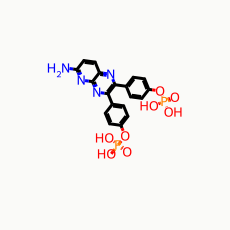 Nc1ccc2nc(-c3ccc(OP(=O)(O)O)cc3)c(-c3ccc(OP(=O)(O)O)cc3)nc2n1